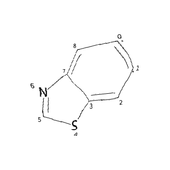 [c]1[c]cc2scnc2c1